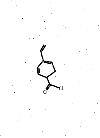 C=CC1=CCC(C(=O)Cl)C=C1